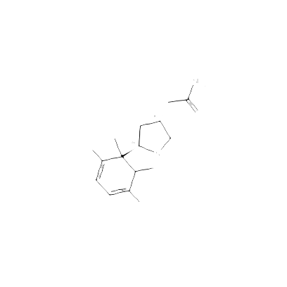 CC1([C@H]2C[C@H](CC(N)=O)CN2)C(O)=CC=C(Cl)C1Cl